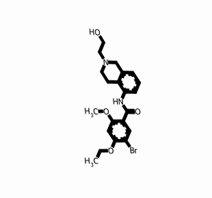 CCOc1cc(OC)c(C(=O)Nc2cccc3c2CCN(CCO)C3)cc1Br